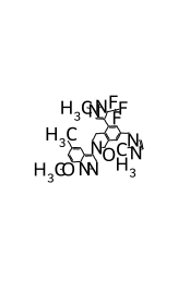 CCc1cc(OC)c2nncc(N3CCc4c(cc(Cn5ccnc5C)cc4-c4cn(C)nc4C(F)(F)F)C3=O)c2c1